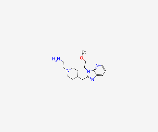 CCOCCn1c(CC2CCN(CCN)CC2)nc2cccnc21